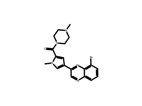 CN1CCN(C(=O)c2cc(-c3cnc4cccc(Br)c4n3)cn2C)CC1